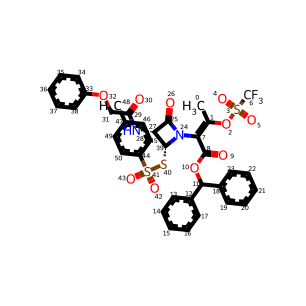 C/C(OS(=O)(=O)C(F)(F)F)=C(/C(=O)OC(c1ccccc1)c1ccccc1)N1C(=O)[C@@H](NC(=O)COc2ccccc2)[C@H]1SS(=O)(=O)c1ccc(C)cc1